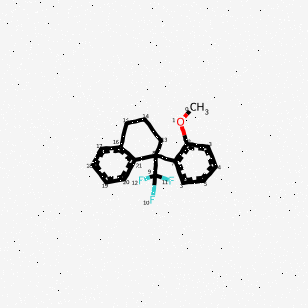 COc1ccccc1C1(C(F)(F)F)CCCc2ccccc21